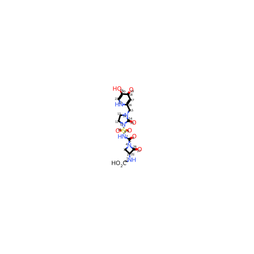 O=C(O)N[C@H]1CN(C(=O)NS(=O)(=O)N2CCN(Cc3cc(=O)c(O)c[nH]3)C2=O)C1=O